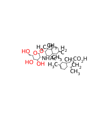 C=C(C)[C@@H]1CC=C(C)[C@H](CC[C@H]2C(=C)CC[C@H]3C(C)(C)[C@@H](O[C@@H]4O[C@H](CO)[C@@H](O)[C@H](O)[C@H]4NC(C)=O)CC[C@]23C)[C@@]1(C)CCC(=O)O